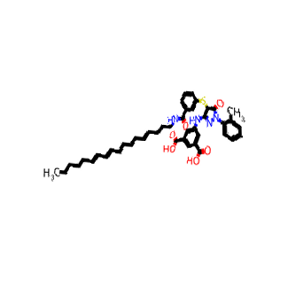 CCCCCCCCCCCCCCCCCCNC(=O)c1cccc(SC2C(=O)N(c3ccccc3C)N=C2Nc2cc(C(=O)O)cc(C(=O)O)c2)c1